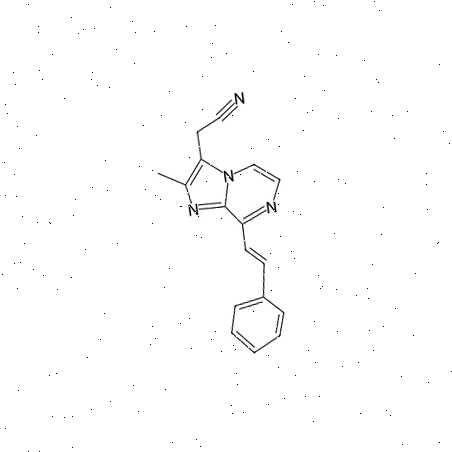 Cc1nc2c(C=Cc3ccccc3)nccn2c1CC#N